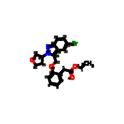 CCOC(=O)Cc1ccccc1OCc1c2cc(Br)ccc2nn1C1CCOC1